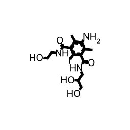 Cc1c(N)c(C)c(C(=O)NCC(O)CO)c(I)c1C(=O)NCCO